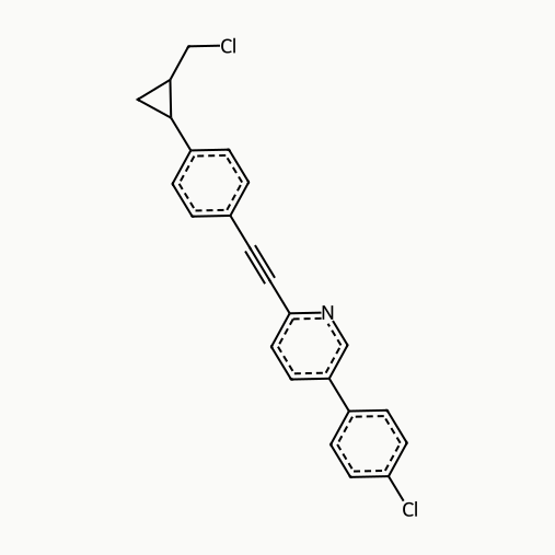 ClCC1CC1c1ccc(C#Cc2ccc(-c3ccc(Cl)cc3)cn2)cc1